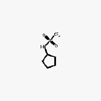 O=S(=O)(NC1CCCC1)C(F)(F)F